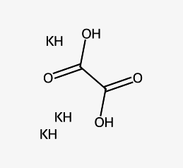 O=C(O)C(=O)O.[KH].[KH].[KH]